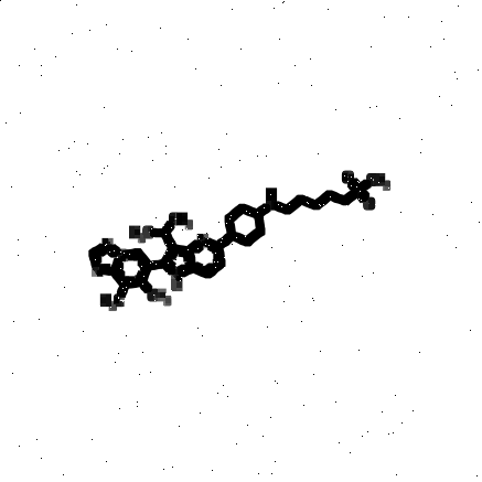 Cc1c(-c2[nH]c3ccc(C4CCC(NCCCCCS(C)(=O)=O)CC4)nc3c2C(C)C)cn2ncnc2c1C